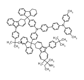 CCC(C)(N)C1(C)C=Cc2c3c(n(-c4ccc(C(C)(C)C)cc4)c2C=C1)C=CC(C1(c2ccc(N(c4ccc(-c5ccc(N(c6ccc(C)cc6)c6ccc(C)cc6)cc5)cc4)c4ccc(C5(C6C=Cc7c(c8ccccc8n7-c7ccc(C(C)(C)C)cc7)C6)C6=C(CCC=C6)c6ccccc65)cc4)cc2)c2ccccc2-c2ccccc21)C3